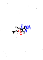 CCCCCC1(N)C2=CNNC2=NC(C)=C1C(=O)OCCC1CC1